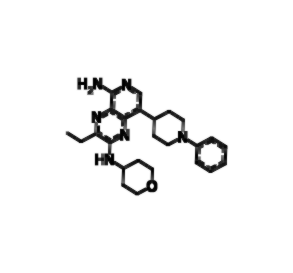 CCc1nc2c(N)ncc(C3CCN(c4ccccc4)CC3)c2nc1NC1CCOCC1